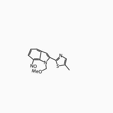 COCn1c(-c2ncc(C)s2)cc2cccc(N=O)c21